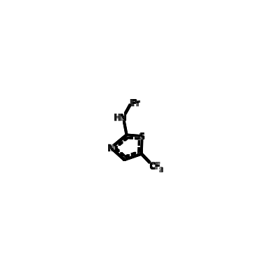 CC(C)Nc1ncc(C(F)(F)F)s1